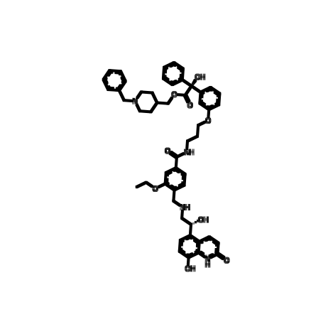 CCOc1cc(C(=O)NCCCOc2cccc([C@](O)(C(=O)OCC3CCN(Cc4ccccc4)CC3)c3ccccc3)c2)ccc1CNC[C@H](O)c1ccc(O)c2[nH]c(=O)ccc12